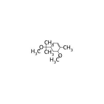 COC1CC(C(C)(C)OC)CC=C1C